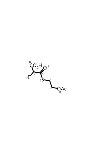 CC(=O)OCCSC(=O)C(F)C(=O)O